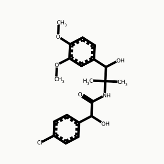 COc1ccc(C(O)C(C)(C)NC(=O)C(O)c2ccc(Cl)cc2)cc1OC